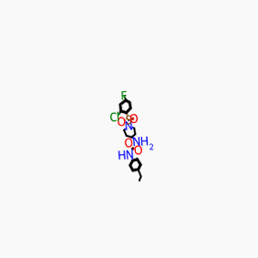 CCc1ccc(NC(=O)OC2(N)CCN(S(=O)(=O)c3ccc(F)cc3Cl)CC2)cc1